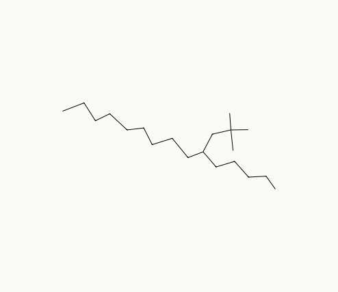 CCCCCCCCCC(CCCCC)CC(C)(C)C